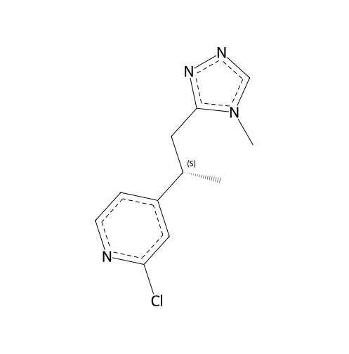 C[C@@H](Cc1nncn1C)c1ccnc(Cl)c1